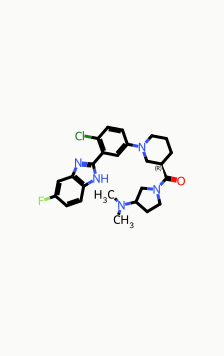 CN(C)C1CCN(C(=O)[C@@H]2CCCN(c3ccc(Cl)c(-c4nc5cc(F)ccc5[nH]4)c3)C2)C1